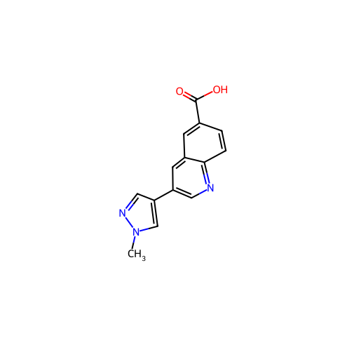 Cn1cc(-c2cnc3ccc(C(=O)O)cc3c2)cn1